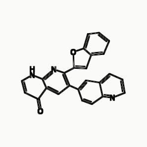 O=c1cc[nH]c2nc(-c3cc4ccccc4o3)c(-c3ccc4ncccc4c3)cc12